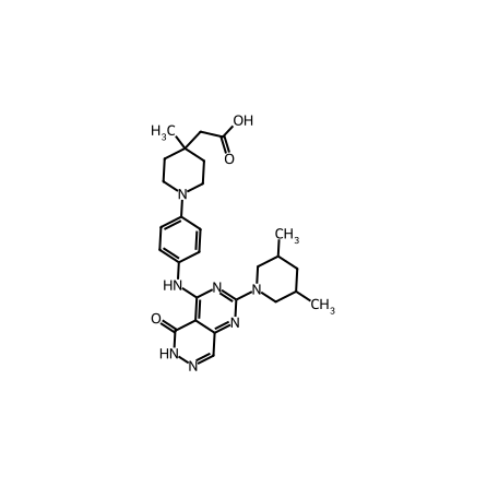 CC1CC(C)CN(c2nc(Nc3ccc(N4CCC(C)(CC(=O)O)CC4)cc3)c3c(=O)[nH]ncc3n2)C1